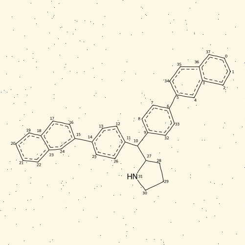 c1ccc2cc(-c3ccc(C(c4ccc(-c5ccc6ccccc6c5)cc4)C4CCCN4)cc3)ccc2c1